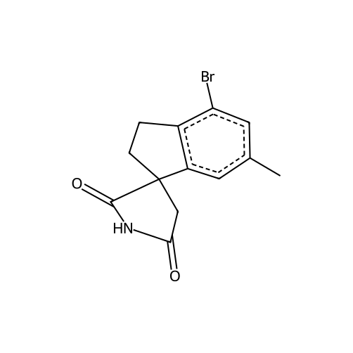 Cc1cc(Br)c2c(c1)C1(CC2)CC(=O)NC1=O